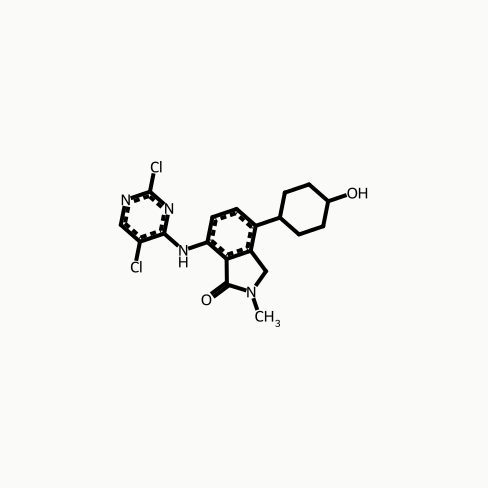 CN1Cc2c(C3CCC(O)CC3)ccc(Nc3nc(Cl)ncc3Cl)c2C1=O